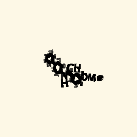 COc1cccc([C@H](C)NC2CCC(c3ccccc3)CC2)c1